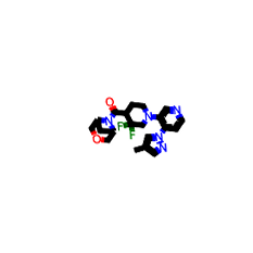 Cc1cnn(-c2ccncc2N2CCC(C(=O)N3C4COCC3C4)C(F)(F)C2)c1